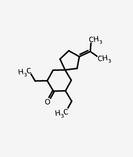 CCC1CC2(CCC(=C(C)C)C2)CC(CC)C1=O